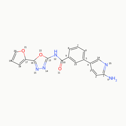 Nc1ccc(-c2cccc(C(=O)Nc3nnc(-c4ccco4)o3)c2)cn1